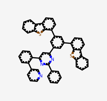 c1ccc(-c2nc(-c3cc(-c4cccc5c4sc4ccccc45)cc(-c4cccc5c4sc4ccccc45)c3)cc(-c3ccccc3-c3cccnc3)n2)cc1